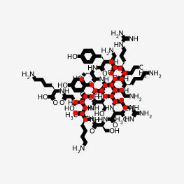 CCCC(=O)N[C@@H](CCCCN)C(=O)NCC(=O)N[C@H](C(=O)N[C@@H](CO)C(=O)N[C@@H](CCCCN)C(=O)N[C@@H](CO)C(=O)N[C@@H](Cc1ccc(O)cc1)C(=O)N[C@@H](CCCNC(=N)N)C(=O)N[C@@H](CCCCN)C(=O)N[C@@H](CCCNC(=N)N)C(=O)N[C@@H](Cc1ccc(O)cc1)C(=O)N[C@@H](CO)C(=O)N[C@@H](CCCCN)C(=O)N[C@@H](CO)C(=O)N[C@H](C(=O)NCC(=O)N[C@@H](CCCCN)C(=O)O)C(C)C)C(C)C